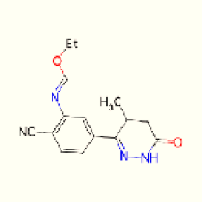 CCOC=Nc1cc(C2=NNC(=O)CC2C)ccc1C#N